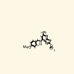 COc1ccc(CNc2cc(C(C)C)nc3nc(OC(F)(F)F)nn23)cc1